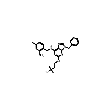 Cc1ccc(CNc2nc(NCCC(C)(C)O)nc3c2ncn3Cc2ccccc2)c(N)c1